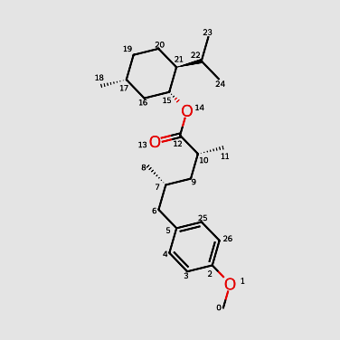 COc1ccc(C[C@H](C)C[C@@H](C)C(=O)O[C@@H]2C[C@H](C)CC[C@H]2C(C)C)cc1